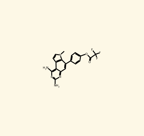 Cn1ccc2c3c(N)nc(N)nc3cc(-c3ccc(OC(=O)C(F)(F)F)cc3)c21